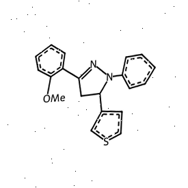 COc1ccccc1C1=NN(c2ccccc2)C(c2ccsc2)C1